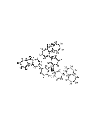 c1cc(-c2ccc3sc4ccccc4c3c2)cc(N(c2cccc(-c3cccc4ccccc34)c2)c2cccc(-c3cccc4oc5ccccc5c34)c2)c1